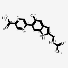 CC(=O)NCc1cc2cc(Cl)c(-c3cnc(C(C)=O)cn3)cc2[nH]1